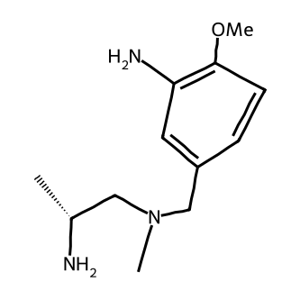 COc1ccc(CN(C)C[C@@H](C)N)cc1N